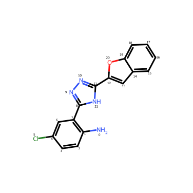 Nc1ccc(Cl)cc1-c1nnc(-c2cc3ccccc3o2)[nH]1